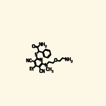 CCc1c(C#N)c(SC(C(N)=O)c2ccccc2)nc(N(C)CCOCCN)c1C#N